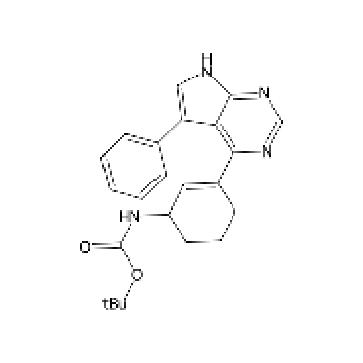 CC(C)(C)OC(=O)NC1C=C(c2ncnc3[nH]cc(-c4ccccc4)c23)CCC1